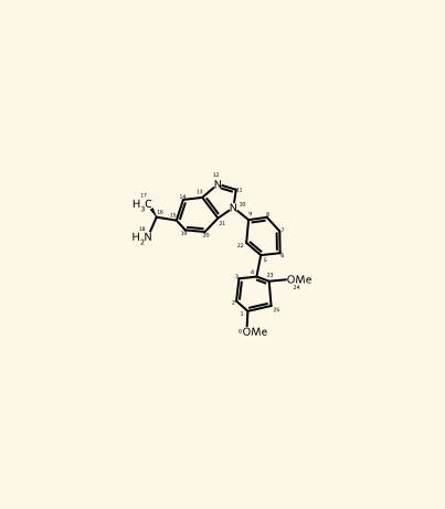 COc1ccc(-c2cccc(-n3cnc4cc([C@H](C)N)ccc43)c2)c(OC)c1